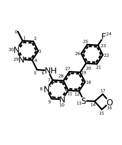 Cc1ccc(CNc2ncnc3c(SC4COC4)cc(-c4ccc(F)cc4)cc23)nn1